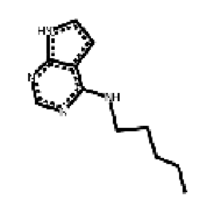 CCCCCNc1ncnc2[nH]ccc12